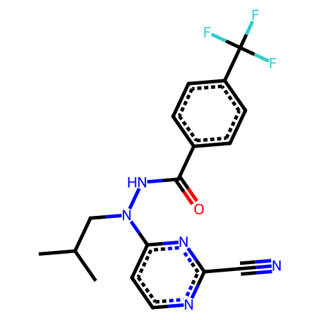 CC(C)CN(NC(=O)c1ccc(C(F)(F)F)cc1)c1ccnc(C#N)n1